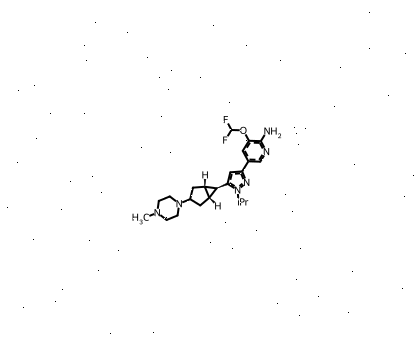 CC(C)n1nc(-c2cnc(N)c(OC(F)F)c2)cc1[C@H]1[C@@H]2CC(N3CCN(C)CC3)C[C@@H]21